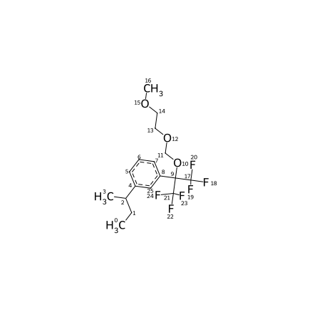 CCC(C)c1cccc(C(OCOCCOC)(C(F)(F)F)C(F)(F)F)c1